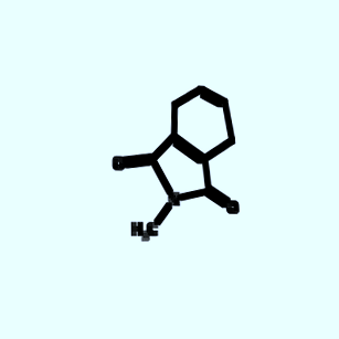 CN1C(=O)C2=C(CC=CC2)C1=O